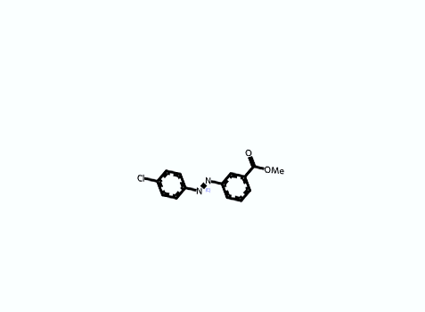 COC(=O)c1cccc(/N=N/c2ccc(Cl)cc2)c1